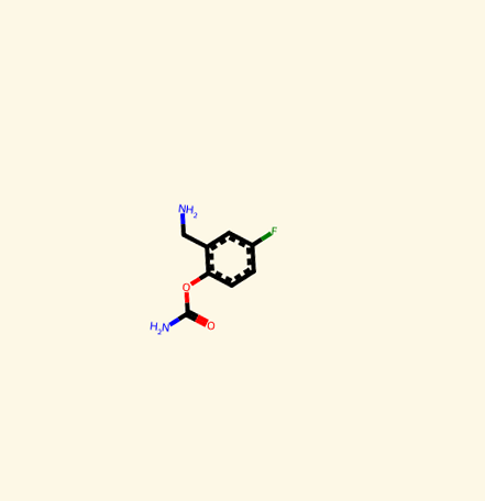 NCc1cc(F)ccc1OC(N)=O